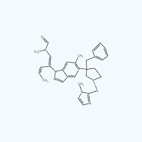 C/C=C\C(=C/N(C)C=O)n1ncc2cc(C3(Cc4ccccc4)CCN(Sc4nccn4C)C3)c(C)cc21